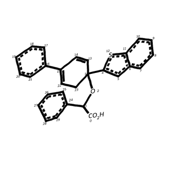 O=C(O)C(OC1(c2cc3ccccc3s2)C=CC(c2ccccc2)=CC1)c1ccccc1